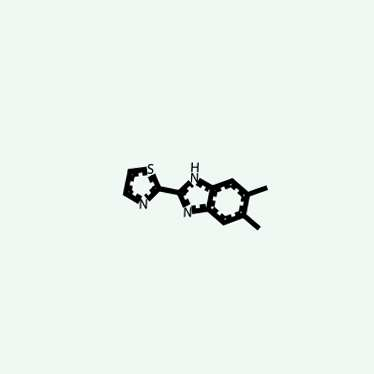 Cc1cc2nc(-c3nccs3)[nH]c2cc1C